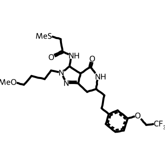 COCCCCN1N=C2CC(CCc3cccc(OCC(F)(F)F)c3)NC(=O)C2C1NC(=O)CSC